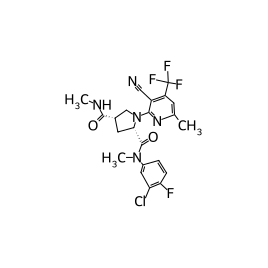 CNC(=O)[C@H]1C[C@@H](C(=O)N(C)c2ccc(F)c(Cl)c2)N(c2nc(C)cc(C(F)(F)F)c2C#N)C1